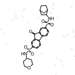 O=C1c2cc(S(=O)(=O)NC3CCOCC3)ccc2-c2ccc(S(=O)(=O)NC3CC4CCC3C4)cc21